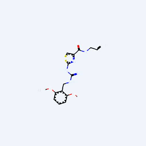 C=CCNC(=O)c1csc(NC(=N)NCc2c(OC)cccc2OC)n1